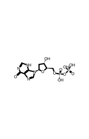 O=c1nc[nH]c2c1ncn2[C@H]1C[C@H](O)[C@@H](CO[P@](=O)(O)OP(=O)(O)O)O1